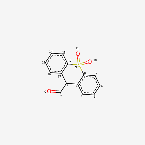 O=CC1c2ccccc2S(=O)(=O)c2ccccc21